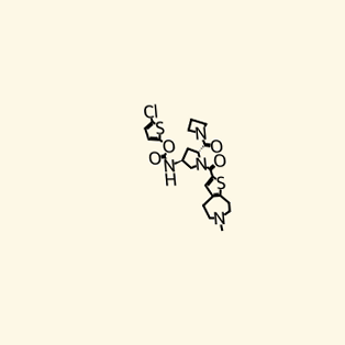 CN1CCc2cc(C(=O)N3C[C@@H](NC(=O)Oc4ccc(Cl)s4)C[C@@H]3C(=O)N3CCC3)sc2CC1